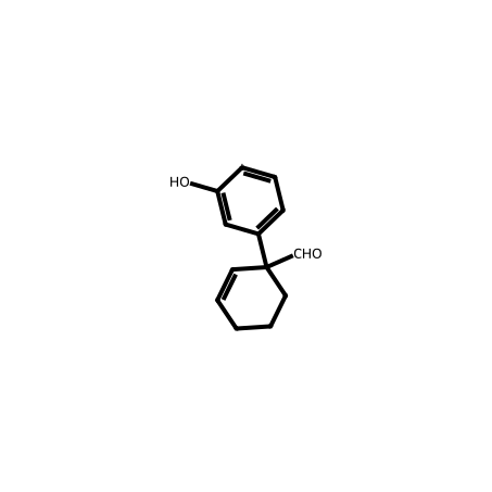 O=CC1(c2cc[c]c(O)c2)C=CCCC1